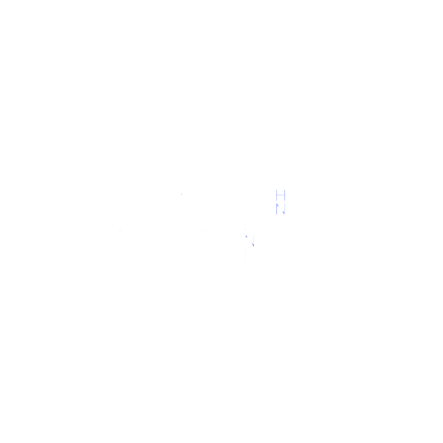 CNNC1=C(C)C1(C)C